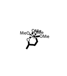 CO[Si]1(OC)CCC(C)O[Si]1(OC)OC